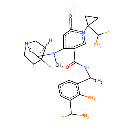 C[C@@H](NC(=O)c1cn(C2(C(F)P)CC2)c(=O)cc1N(C)[C@@H]1CN2CCC1(F)CC2)c1cccc(C(F)P)c1P